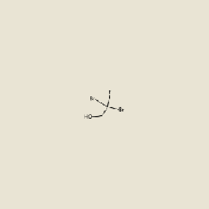 OCC(F)(Br)Br